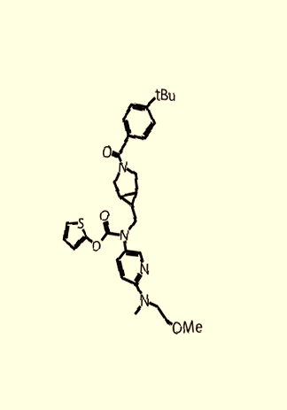 COCCN(C)c1ccc(N(CC2C3CN(C(=O)c4ccc(C(C)(C)C)cc4)CC32)C(=O)Oc2cccs2)cn1